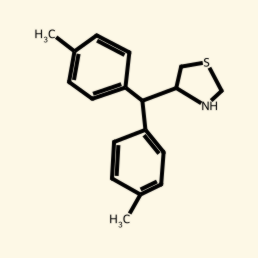 Cc1ccc(C(c2ccc(C)cc2)C2CSCN2)cc1